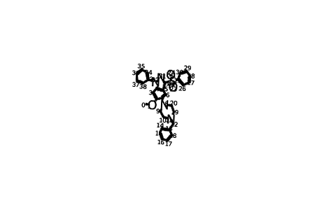 COc1cc2c(cc1N1CCN(Cc3ccccc3)CC1)c(S(=O)(=O)c1ccccc1)nn2-c1ccccc1